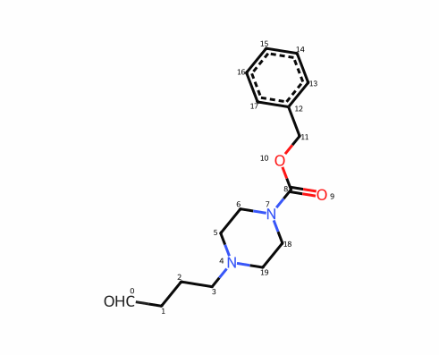 O=CCCCN1CCN(C(=O)OCc2ccccc2)CC1